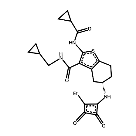 CCc1c(N[C@H]2CCc3sc(NC(=O)C4CC4)c(C(=O)NCC4CC4)c3C2)c(=O)c1=O